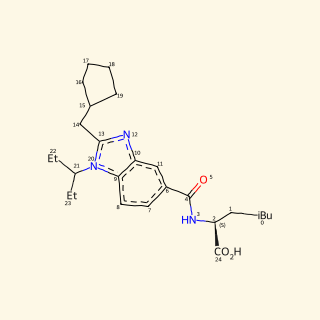 CCC(C)C[C@H](NC(=O)c1ccc2c(c1)nc(CC1CCCC1)n2C(CC)CC)C(=O)O